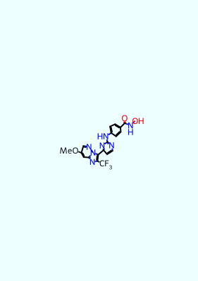 COc1cnn2c(-c3ccnc(Nc4ccc(C(=O)NO)cc4)n3)c(C(F)(F)F)nc2c1